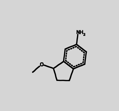 COC1CCc2ccc(N)cc21